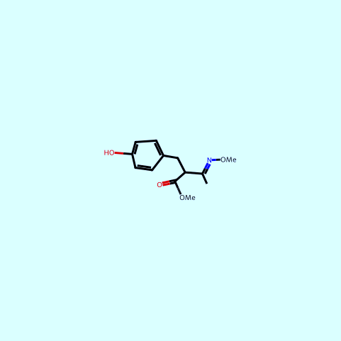 CON=C(C)C(Cc1ccc(O)cc1)C(=O)OC